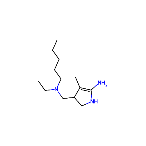 CCCCCN(CC)CC1CNC(N)=C1C